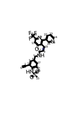 C#Cc1cc(CNC(=O)/C=C\c2ccc(C(F)(F)F)nc2-c2cccnc2)cc(F)c1NS(C)(=O)=O